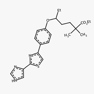 CCOC(=O)C(C)(C)CCC(CC)Oc1ccc(-c2csc(-c3c[nH]cn3)n2)cc1